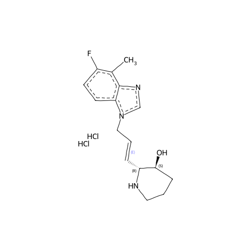 Cc1c(F)ccc2c1ncn2C/C=C/[C@H]1NCCC[C@@H]1O.Cl.Cl